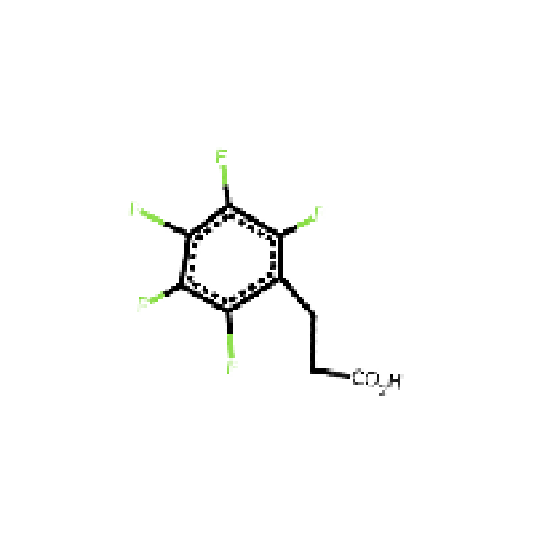 O=C(O)CCc1c(F)c(F)c(F)c(F)c1F